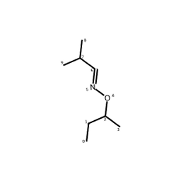 CCC(C)O/N=[C]/C(C)C